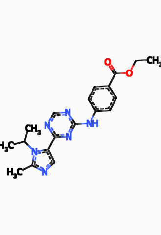 CCOC(=O)c1ccc(Nc2ncnc(-c3cnc(C)n3C(C)C)n2)cc1